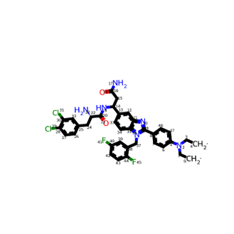 [CH2]CN(C[CH2])c1ccc(-c2nc3cc(C(CC(N)=O)NC(=O)[C@@H](N)Cc4ccc(Cl)c(Cl)c4)ccc3n2Cc2cc(F)ccc2F)cc1